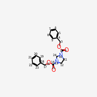 O=C(OCc1ccccc1)N1CCN(C(=O)OCc2ccccc2)C1